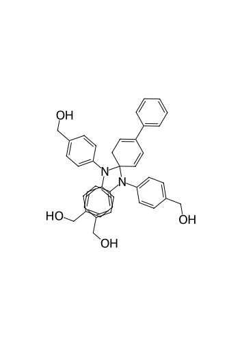 OCc1ccc(N(c2ccc(CO)cc2)C2(N(c3ccc(CO)cc3)c3ccc(CO)cc3)C=CC(c3ccccc3)=CC2)cc1